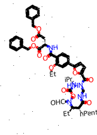 CCCCC[C@@H](C(=O)NCNC(=O)c1ccc(-c2ccc(C(=O)N[C@@H](CC(=O)OCc3ccccc3)C(=O)OCc3ccccc3)c(OCC)c2)o1)[C@@H](CC)N(C=O)OC(=O)NC(C)C